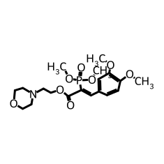 COc1ccc(C=C(C(=O)OCCN2CCOCC2)P(=O)(OC)OC)cc1OC